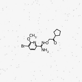 COc1nc(/C(N)=N/OCC(=O)C2CCCC2)ccc1Br